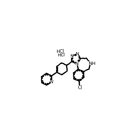 Cl.Cl.Clc1ccc2c(c1)CNCc1nnc(C3CC=C(c4ccccn4)CC3)n1-2